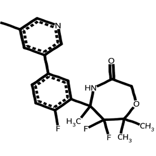 CC1(C)OCC(=O)NC(C)(c2cc(-c3cncc(Cl)c3)ccc2F)C1(F)F